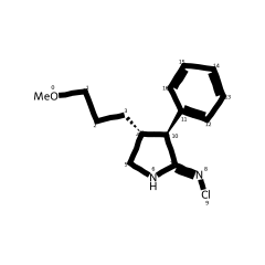 COCCC[C@H]1CN/C(=N\Cl)[C@@H]1c1ccccc1